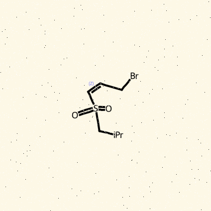 CC(C)CS(=O)(=O)/C=C\CBr